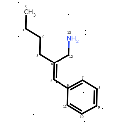 CCCCC(=Cc1ccccc1)CN